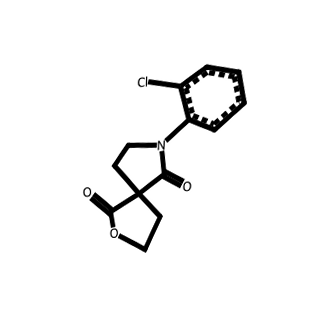 O=C1OCCC12CCN(c1ccccc1Cl)C2=O